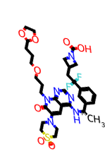 C[C@@H](Nc1ncnc2c1cc(N1CCS(=O)(=O)CC1)c(=O)n2CCCOCCCC1OCCO1)c1cccc(C(F)(F)CC2CN(C(=O)O)C2)c1